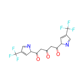 O=C(CC(=O)C1C=C(C(F)(F)F)C=N1)CC(=O)C1C=C(C(F)(F)F)C=N1